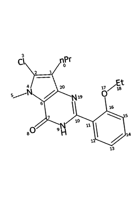 CCCc1c(Cl)n(C)c2c(=O)[nH]c(-c3ccccc3OCC)nc12